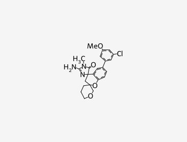 COc1cc(Cl)cc(-c2ccc3c(c2)C2(CC4(CCCOC4)O3)N=C(N)N(C)C2=O)c1